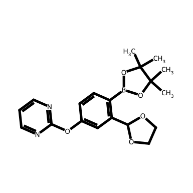 CC1(C)OB(c2ccc(Oc3ncccn3)cc2C2OCCO2)OC1(C)C